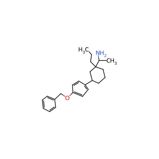 CCCC1(C(C)N)CCCC(c2ccc(OCc3ccccc3)cc2)C1